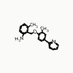 Cc1cc(-c2ccccn2)ccc1OCc1c(C)cccc1N